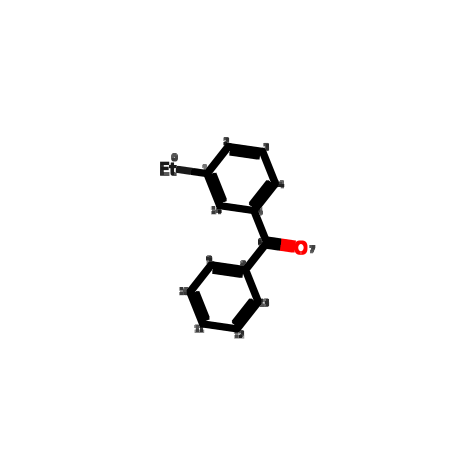 CCc1cccc(C(=O)c2ccccc2)c1